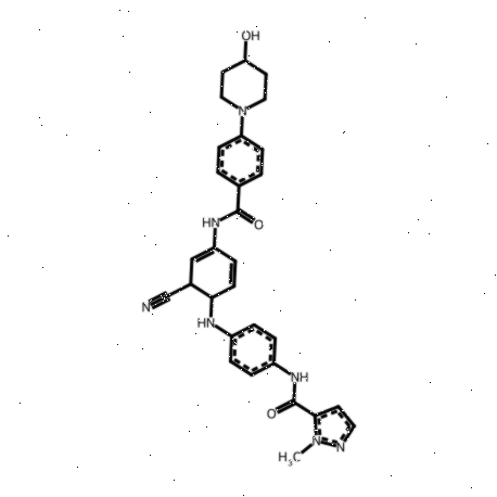 Cn1nccc1C(=O)Nc1ccc(NC2C=CC(NC(=O)c3ccc(N4CCC(O)CC4)cc3)=CC2C#N)cc1